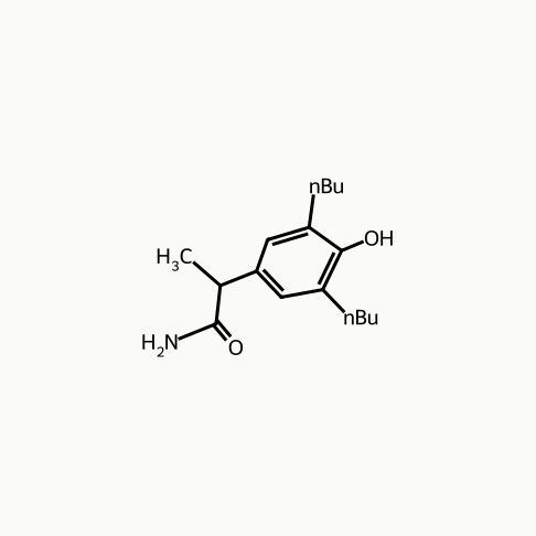 CCCCc1cc(C(C)C(N)=O)cc(CCCC)c1O